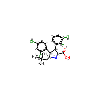 CC(C)(C)CC1NC(C(=O)O)C(c2cccc(Cl)c2F)C1c1ccc(Cl)cc1F